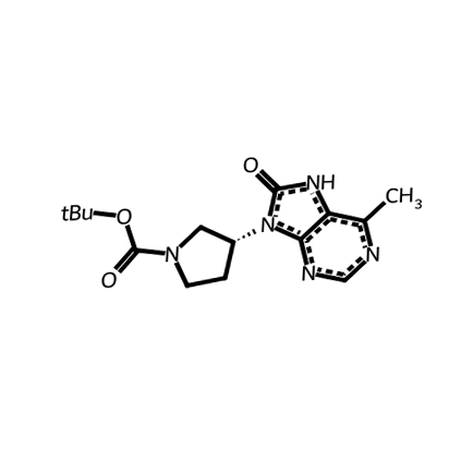 Cc1ncnc2c1[nH]c(=O)n2[C@@H]1CCN(C(=O)OC(C)(C)C)C1